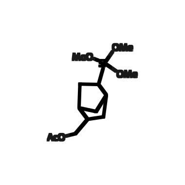 CO[Si](OC)(OC)C1CC2CC1CC2COC(C)=O